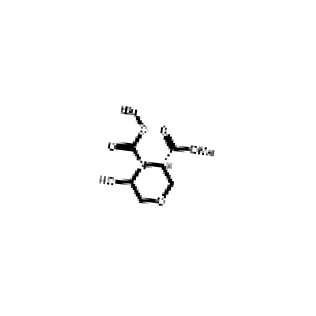 COC(=O)[C@@H]1COCC(O)N1C(=O)OC(C)(C)C